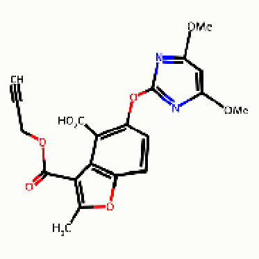 C#CCOC(=O)c1c(C)oc2ccc(Oc3nc(OC)cc(OC)n3)c(C(=O)O)c12